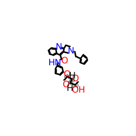 O=C(Nc1cccc(O[C@H]2CO[C@H]3[C@@H]2OC[C@@H]3O)c1)c1c2c(nc3ccccc13)CCN(CCc1ccccc1)C2